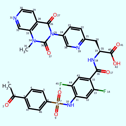 CC(=O)c1ccc(S(=O)(=O)Nc2cc(F)c(C(=O)N[C@@H](Cc3ccc(-n4c(=O)c5ccncc5n(C)c4=O)cn3)C(=O)O)cc2F)cc1